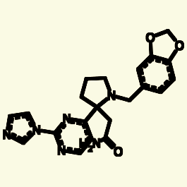 NC(=O)CC1(c2ccnc(-n3ccnc3)n2)CCCN1Cc1ccc2c(c1)OCO2